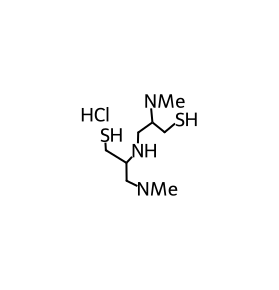 CNCC(CS)NCC(CS)NC.Cl